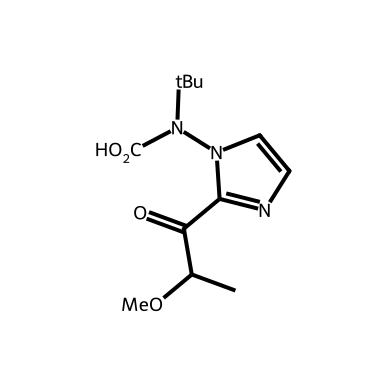 COC(C)C(=O)c1nccn1N(C(=O)O)C(C)(C)C